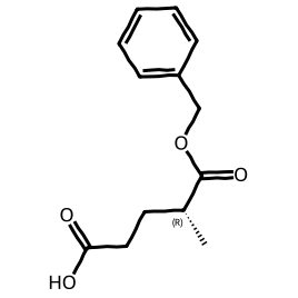 C[C@H](CCC(=O)O)C(=O)OCc1ccccc1